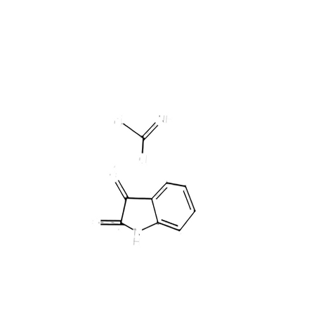 N=C(Cl)Cl.O=C1Nc2ccccc2C1=O